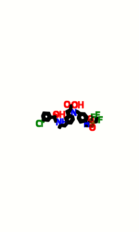 CC(Cc1ccc2c(c1)cc(C(=O)O)n2Cc1ccc(N(C)S(=O)(=O)CC(F)(F)F)cc1)NCC(O)c1cccc(Cl)c1